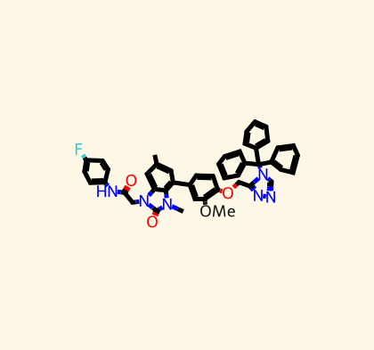 COc1cc(-c2cc(C)cc3c2n(C)c(=O)n3CC(=O)Nc2ccc(F)cc2)ccc1OCc1nncn1C(c1ccccc1)(c1ccccc1)c1ccccc1